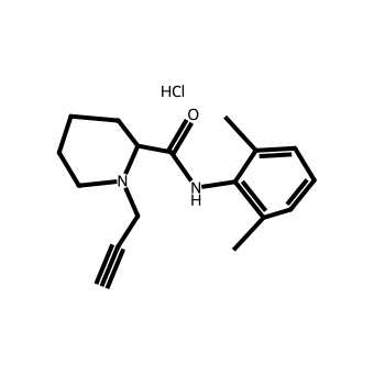 C#CCN1CCCCC1C(=O)Nc1c(C)cccc1C.Cl